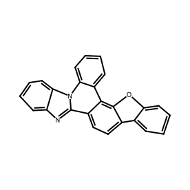 c1ccc2c(c1)nc1c3ccc4c5ccccc5oc4c3c3ccccc3n21